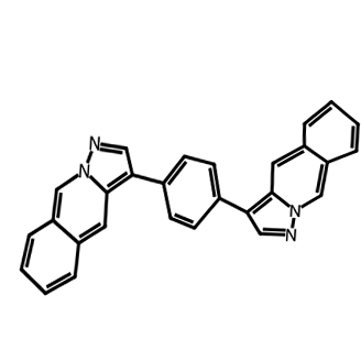 c1ccc2cn3ncc(-c4ccc(-c5cnn6cc7ccccc7cc56)cc4)c3cc2c1